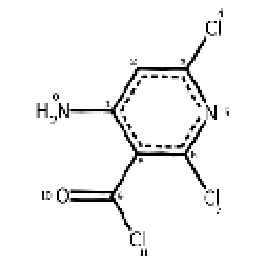 Nc1cc(Cl)nc(Cl)c1C(=O)Cl